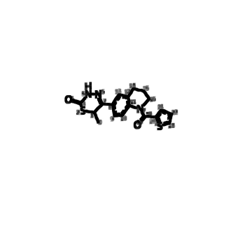 CC1SC(=O)NN=C1c1ccc2c(c1)CCCN2C(=O)c1cccs1